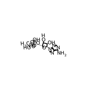 CP(=O)(O)OP(=O)(O)OC[C@H]1O[C@@H](n2cnc3c(N)ncnc32)[C@@H](O)C1O